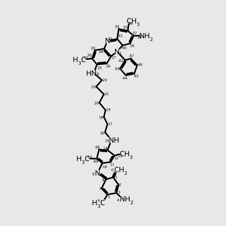 C=C1C=C(N)C(C)=C/C1=N/c1cc(C)c(NCCCCCCCCNc2cc3c(cc2C)N=C2C=C(C)C(N)=CC2N3c2ccccc2)cc1C